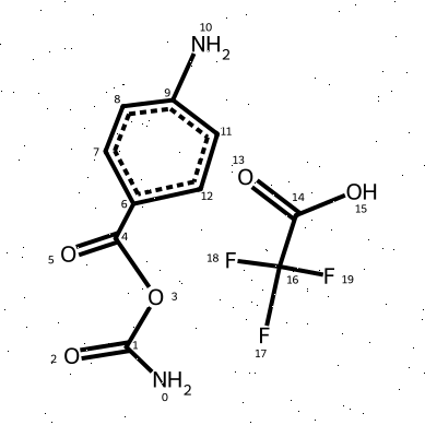 NC(=O)OC(=O)c1ccc(N)cc1.O=C(O)C(F)(F)F